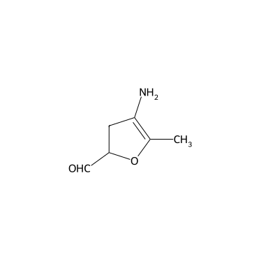 CC1=C(N)CC(C=O)O1